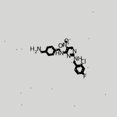 NCC1CCC(CNc2nc(NCc3ccc(F)cc3Cl)ncc2[N+](=O)[O-])CC1